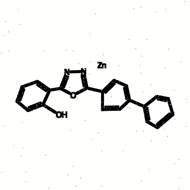 Oc1ccccc1-c1nnc(-c2ccc(-c3ccccc3)cc2)o1.[Zn]